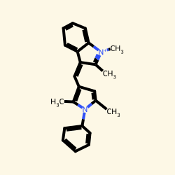 CC1=[N+](C)c2ccccc2C1=Cc1cc(C)n(-c2ccccc2)c1C